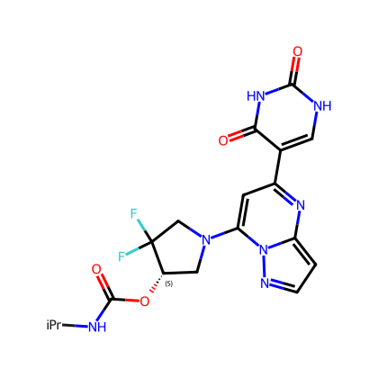 CC(C)NC(=O)O[C@H]1CN(c2cc(-c3c[nH]c(=O)[nH]c3=O)nc3ccnn23)CC1(F)F